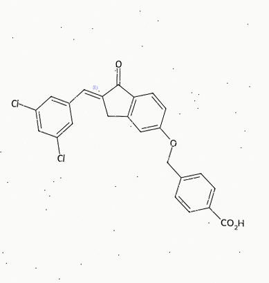 O=C(O)c1ccc(COc2ccc3c(c2)C/C(=C\c2cc(Cl)cc(Cl)c2)C3=O)cc1